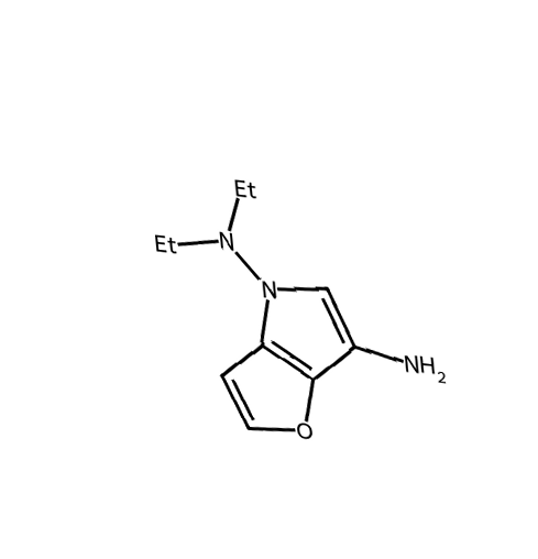 CCN(CC)n1cc(N)c2occc21